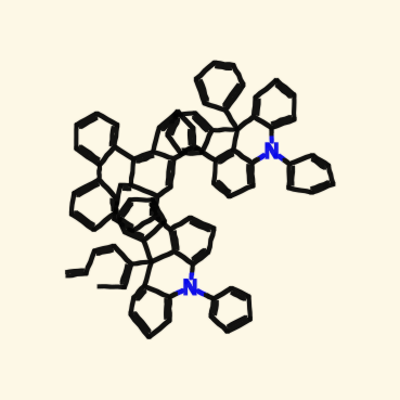 C=C/C=C\C(=C/C)C1(c2ccccc2)c2ccccc2N(c2ccccc2)c2cccc(-c3cccc4c(-c5ccccc5-c5ccccc5)c5cccc(-c6cccc7c6C(c6ccccc6)(c6ccccc6)c6ccccc6N7c6ccccc6)c5cc34)c21